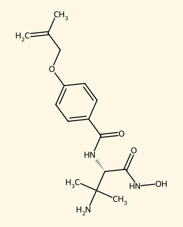 C=C(C)COc1ccc(C(=O)N[C@H](C(=O)NO)C(C)(C)N)cc1